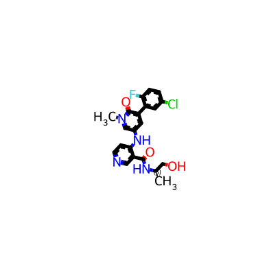 C[C@@H](CO)NC(=O)c1cnccc1Nc1cc(-c2cc(Cl)ccc2F)c(=O)n(C)c1